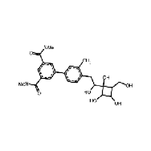 CNC(=O)c1cc(C(=O)NC)cc(-c2ccc(CC(O)C3(O)C(O)C(O)C3CO)c(C)c2)c1